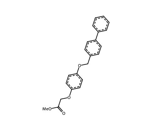 COC(=O)COc1ccc(OCc2ccc(-c3ccccc3)cc2)cc1